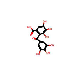 O=C(O)c1cc(O)c(O)c(O)c1C(=O)c1cc(O)c(O)c(O)c1